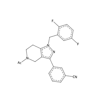 CC(=O)N1CCc2c(c(-c3cccc(C#N)c3)nn2Cc2cc(F)ccc2F)C1